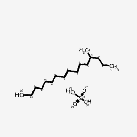 CCCC(C)CCCCCCCCCCCO.O=S(=O)(O)O